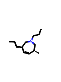 CCCC1C=C[C@H](C)CN(CCC)C1